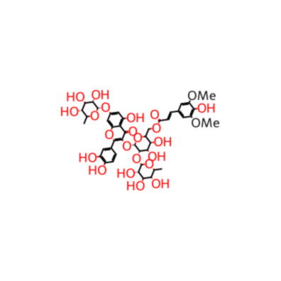 COc1cc(/C=C/C(=O)OCC2O[C@@H](Oc3c(-c4ccc(O)c(O)c4)oc4cc(O[C@@H]5OC(C)[C@H](O)C(O)[C@@H]5O)cc(O)c4c3=O)[C@@H](OC3OC(C)[C@H](O)C(O)[C@@H]3O)C(O)[C@@H]2O)cc(OC)c1O